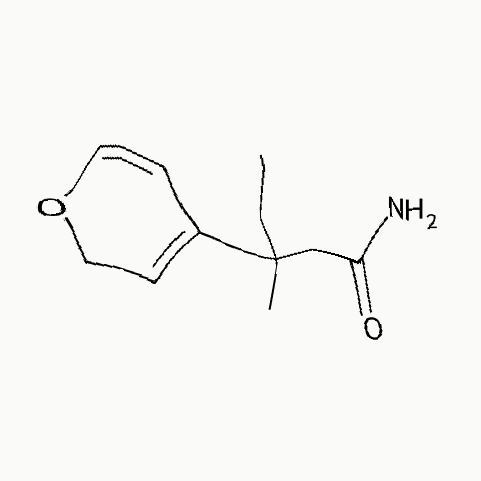 CC(C)(C(N)=O)C1=CCOC=C1